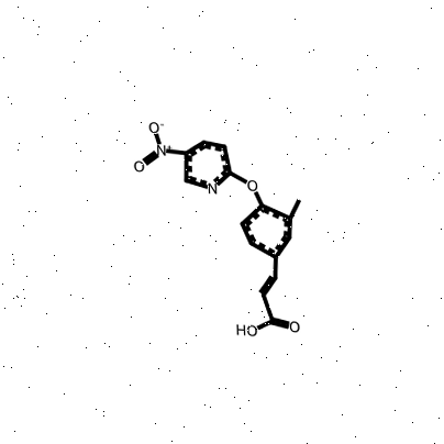 Cc1cc(/C=C/C(=O)O)ccc1Oc1ccc([N+](=O)[O-])cn1